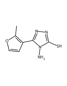 Cc1occc1-c1nnc(S)n1N